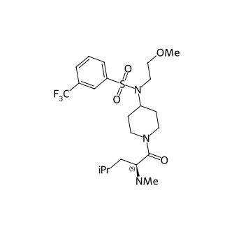 CN[C@@H](CC(C)C)C(=O)N1CCC(N(CCOC)S(=O)(=O)c2cccc(C(F)(F)F)c2)CC1